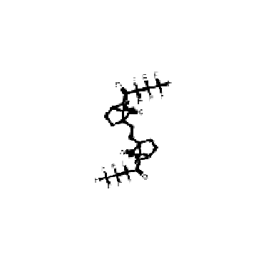 CC1(C)C2CCC1(CCC13CCC(C(C(=O)C(F)(F)C(F)(F)C(F)(F)F)C1=O)C3(C)C)C(=O)C2C(=O)C(F)(F)C(F)(F)C(F)(F)F